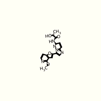 COc1nccc2oc(-c3cnc4ccc(NC(=O)[C@@H](C)O)nn34)cc12